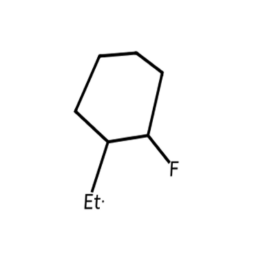 C[CH]C1CCCCC1F